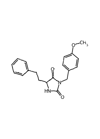 COc1ccc(CN2C(=O)NC(CCc3ccccc3)C2=O)cc1